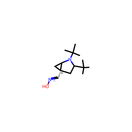 CC(C)(C)C1C[C@@]2(/C=N/O)CC2N1C(C)(C)C